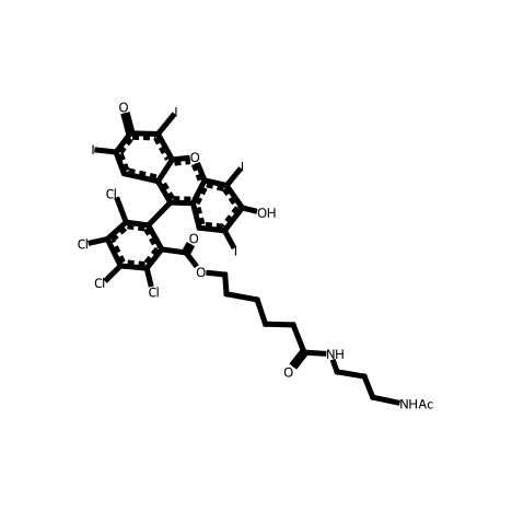 CC(=O)NCCCNC(=O)CCCCCOC(=O)c1c(Cl)c(Cl)c(Cl)c(Cl)c1-c1c2cc(I)c(=O)c(I)c-2oc2c(I)c(O)c(I)cc12